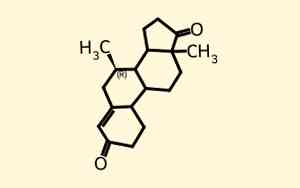 C[C@@H]1CC2=CC(=O)CCC2C2CCC3(C)C(=O)CCC3C21